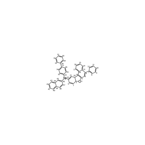 C1=CC2Oc3cc(-c4ccccc4)c4ccccc4c3C2C=C1N(c1ccc(-c2ccccc2)cc1)c1ccc2ccccc2c1